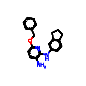 Nc1ccc(OCc2ccccc2)nc1Nc1ccc2c(c1)CCC2